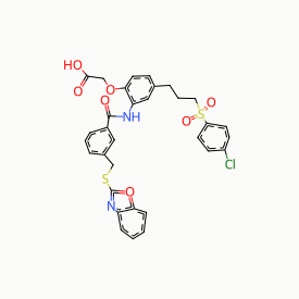 O=C(O)COc1ccc(CCCS(=O)(=O)c2ccc(Cl)cc2)cc1NC(=O)c1cccc(CSc2nc3ccccc3o2)c1